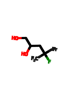 CC(C)C(F)(CC(O)CO)C(F)(F)F